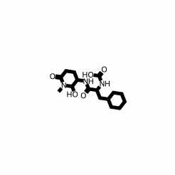 CN1C(=O)CCC(NC(=O)C(CC2CCCCC2)NC(=O)O)C1O